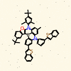 Cc1cc2c3c(c1)N(c1c(C)cc(C(C)(C)C)cc1C)c1oc4ccc(C(C)(C)C)cc4c1B3c1ccc(-c3cc4ccccc4s3)cc1N2c1cccc(-c2cc3ccccc3s2)c1